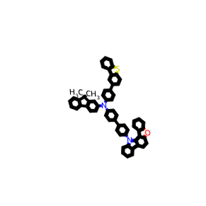 CC1(C)c2ccccc2-c2ccc(N(c3ccc(-c4ccc(-n5c6ccccc6c6ccc7oc8ccccc8c7c65)cc4)cc3)c3ccc(-c4ccc5sc6ccccc6c5c4)cc3)cc21